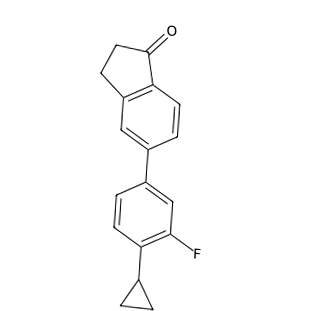 O=C1CCc2cc(-c3ccc(C4CC4)c(F)c3)ccc21